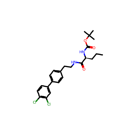 CCC[C@H](NC(=O)OC(C)(C)C)C(=O)NCCc1ccc(-c2ccc(Cl)c(Cl)c2)cc1